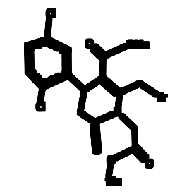 COC(=O)C1=C(CBr)N(CC(=O)OC(C)(C)C)C(=O)CC1c1cc(Cl)ccc1Cl